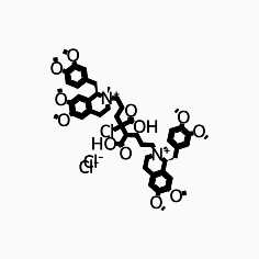 COc1ccc(C[C@@H]2c3cc(OC)c(OC)cc3CC[N@@+]2(C)CCCC(C(=O)O)C(Cl)(CCC[N@+]2(C)CCc3cc(OC)c(OC)cc3[C@H]2Cc2ccc(OC)c(OC)c2)C(=O)O)cc1OC.[Cl-].[Cl-]